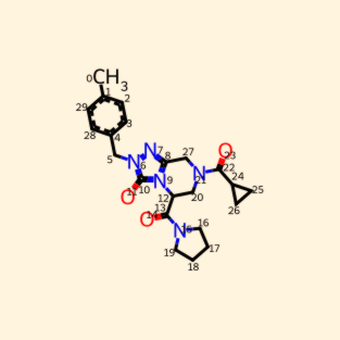 Cc1ccc(Cn2nc3n(c2=O)C(C(=O)N2CCCC2)CN(C(=O)C2CC2)C3)cc1